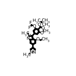 CCOc1cc(-c2cnn(C)c2)cc2nn(C)c(-c3cc(OC)c(C(=O)OC(C)(C)C)c(OC(F)F)c3)c12